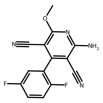 COc1nc(N)c(C#N)c(-c2cc(F)ccc2F)c1C#N